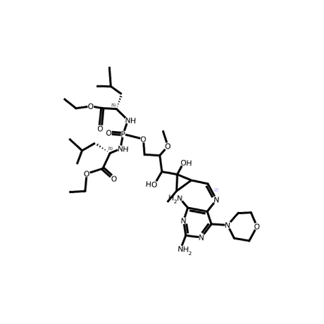 CCOC(=O)[C@H](CC(C)C)NP(=O)(N[C@@H](CC(C)C)C(=O)OCC)OCC(OC)C(O)C1(O)C(C)C1/C=N\c1c(N)nc(N)nc1N1CCOCC1